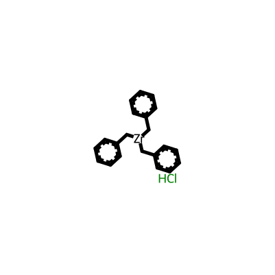 Cl.c1ccc([CH2][Zr]([CH2]c2ccccc2)[CH2]c2ccccc2)cc1